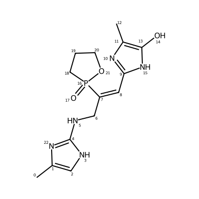 Cc1c[nH]c(NCC(=Cc2nc(C)c(O)[nH]2)P2(=O)CCCO2)n1